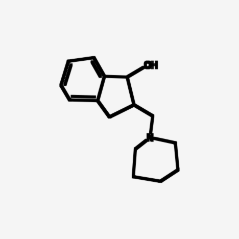 OC1c2ccccc2CC1CN1CCCCC1